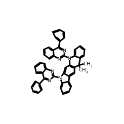 CC1(C)c2ccccc2N(c2nc(-c3ccccc3)c3ccccc3n2)c2cc3c(cc21)c1ccccc1n3-c1nc(-c2ccccc2)c2ccccc2n1